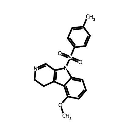 COc1cccc2c1c1c(n2S(=O)(=O)c2ccc(C)cc2)C=NCC1